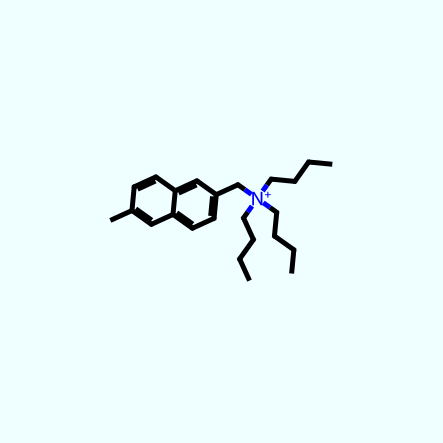 CCCC[N+](CCCC)(CCCC)Cc1ccc2cc(C)ccc2c1